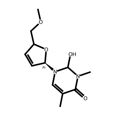 COCC1C=C[C@H](N2C=C(C)C(=O)N(C)C2O)O1